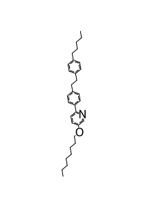 CCCCCCCCOc1ccc(-c2ccc(CCc3ccc(CCCCC)cc3)cc2)nc1